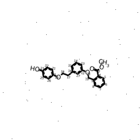 COC(=O)c1ccccc1COc1cccc(CCOc2ccc(O)cc2)c1